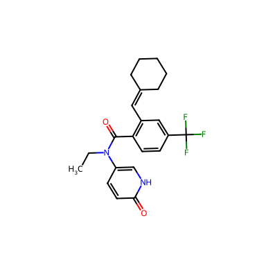 CCN(C(=O)c1ccc(C(F)(F)F)cc1C=C1CCCCC1)c1ccc(=O)[nH]c1